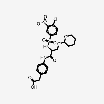 O=C(O)Cc1ccc(NC(=O)C(COC2CCCCO2)NS(=O)(=O)c2ccc(Cl)c([N+](=O)[O-])c2)cc1